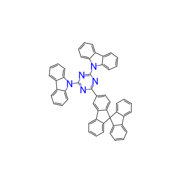 c1ccc2c(c1)-c1ccccc1C21c2ccccc2-c2cc(-c3nc(-n4c5ccccc5c5ccccc54)nc(-n4c5ccccc5c5ccccc54)n3)ccc21